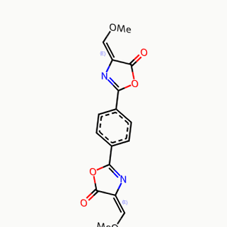 CO/C=C1/N=C(c2ccc(C3=N/C(=C/OC)C(=O)O3)cc2)OC1=O